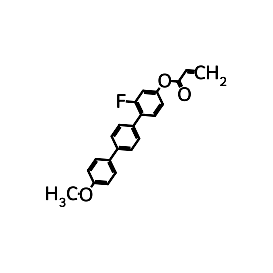 C=CC(=O)Oc1ccc(-c2ccc(-c3ccc(OC)cc3)cc2)c(F)c1